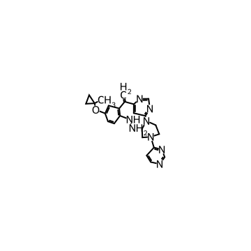 C=C(c1cc(N2CCN(c3ccncn3)CC2)ncn1)c1cc(OC2(C)CC2)ccc1NN